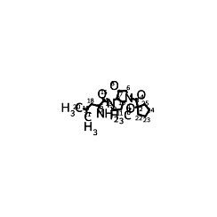 COC1(C(=O)N2CC(=O)C3C2CCN3C(=O)C(N)CC(C)C)CCCC1